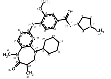 COc1cc(C(=O)N[C@@H]2CCN(C)C2)ccc1Nc1ncc2c(n1)N(C1CCCCC1)CC(C)C(=O)N2C